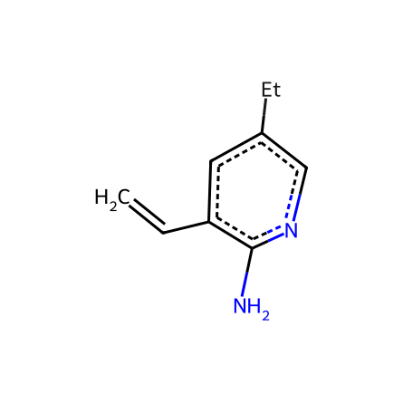 C=Cc1cc(CC)cnc1N